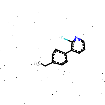 CCc1ccc(-c2cccnc2F)cc1